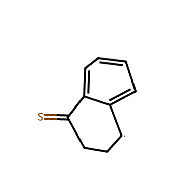 S=C1CC[CH]c2ccccc21